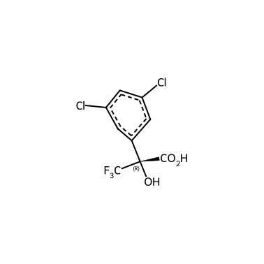 O=C(O)[C@](O)(c1cc(Cl)cc(Cl)c1)C(F)(F)F